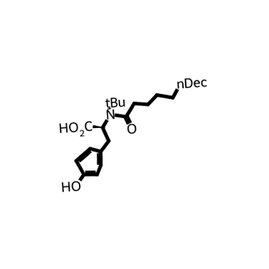 CCCCCCCCCCCCCCC(=O)N([C@@H](Cc1ccc(O)cc1)C(=O)O)C(C)(C)C